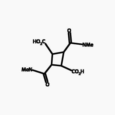 CNC(=O)C1C(C(=O)O)C(C(=O)NC)C1C(=O)O